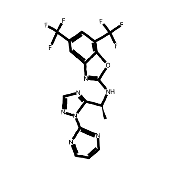 C[C@H](Nc1nc2cc(C(F)(F)F)cc(C(F)(F)F)c2o1)c1ncnn1-c1ncccn1